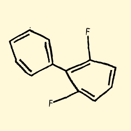 Fc1cccc(F)c1-c1c[c]ccc1